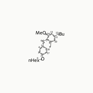 CCCCCCOc1ccc(Sc2c(C)cc(C(C)CC)cc2OC)cc1